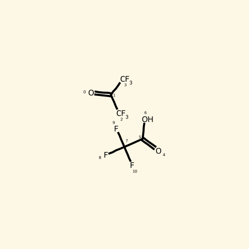 O=C(C(F)(F)F)C(F)(F)F.O=C(O)C(F)(F)F